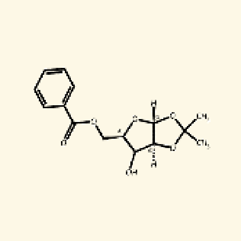 CC1(C)O[C@H]2O[C@H](COC(=O)c3ccccc3)C(O)[C@@H]2O1